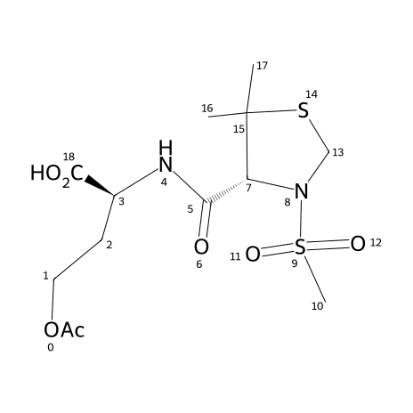 CC(=O)OCC[C@H](NC(=O)[C@H]1N(S(C)(=O)=O)CSC1(C)C)C(=O)O